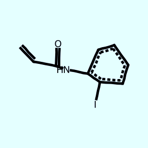 C=CC(=O)Nc1ccccc1I